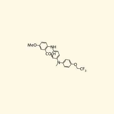 COc1ccc(Nc2ccc(N(C)c3ccc(OCC(F)(F)F)cc3)cc2)c(C(=O)O)c1